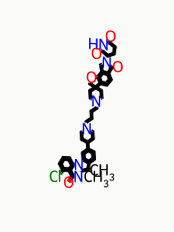 CC1(C)c2ccc(C3CCN(CCCCN4CCC5(CC4)COc4c5ccc5c4CN([C@H]4CCC(=O)NC4=O)C5=O)CC3)cc2-n2c1nc(=O)c1c(Cl)cccc12